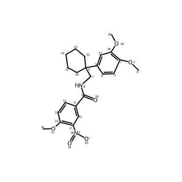 COc1ccc(C2(CNC(=O)c3ccc(OC)c([N+](=O)[O-])c3)CCCCC2)cc1OC